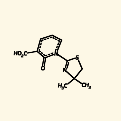 CC1(C)CSC(n2cccc(C(=O)O)c2=O)=N1